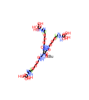 CC(C)(C)OC(=O)NC(CCCNC(=O)NCCOCCOCCOCC(F)(F)c1cncc(N[C@H]2CO[C@H](CO)[C@H](O)[C@@H]2O)n1)(CCCNC(=O)NCCOCCOCCOCC(F)(F)c1cncc(N[C@H]2CO[C@H](CO)[C@H](O)[C@@H]2O)n1)CCCNC(=O)NCCOCCOCCOCC(F)(F)c1cncc(N[C@H]2CO[C@H](CO)[C@H](O)[C@@H]2O)n1